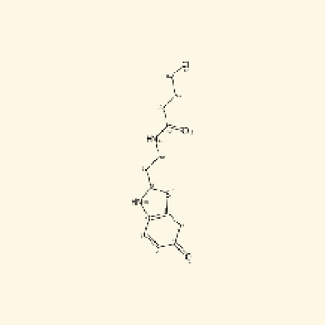 O=C1C=CC2=C(C1)SC(CCNC(=O)CCCCl)N2